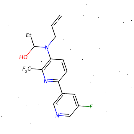 C=CCN(c1ccc(-c2cncc(F)c2)nc1C(F)(F)F)C(O)CC